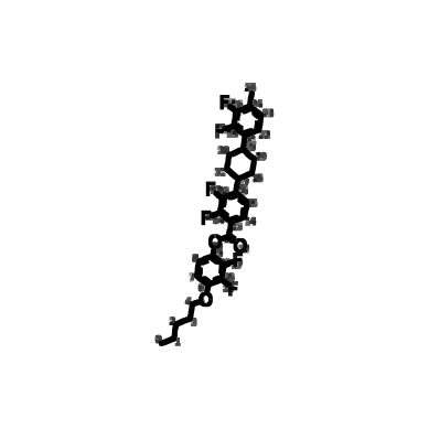 CCCCCOc1ccc(OC(=O)c2ccc(C3CCC(c4ccc(C)c(F)c4F)CC3)c(F)c2F)c(F)c1F